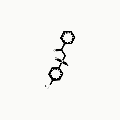 Bc1ccc(S(=O)(=O)CC(=O)c2ccccc2)cc1